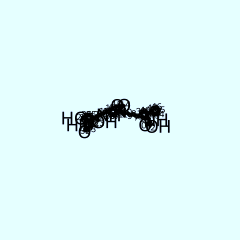 O=C(O)Nc1cc(CCCCCn2c(=O)oc3cc(CNCC(O)c4ccc(O)c5[nH]c(=O)ccc45)ccc32)ccc1-c1ccccc1